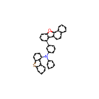 c1ccc(N(c2cccc(-c3cccc4oc5c6ccccc6ccc5c34)c2)c2cccc3sc4ccccc4c23)cc1